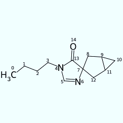 CCCCN1C=NC2(CC3CC3C2)C1=O